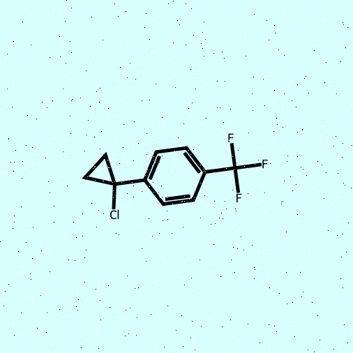 FC(F)(F)c1ccc(C2(Cl)CC2)cc1